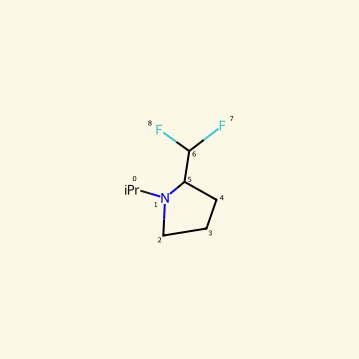 CC(C)N1CCCC1C(F)F